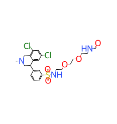 CN1Cc2c(Cl)cc(Cl)cc2C(c2cccc(S(=O)(=O)NCCOCCOCCNC=O)c2)C1